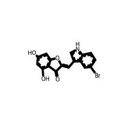 O=C1/C(=C/c2c[nH]c3ccc(Br)cc23)Oc2cc(O)cc(O)c21